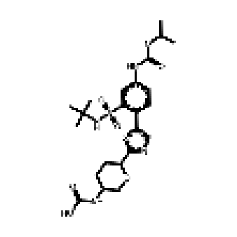 CC(C)OC(=O)Nc1ccc(-c2cnc(C3CCC(NC(=O)O)CO3)s2)c(S(=O)(=O)NC(C)(C)C)c1